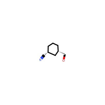 N#C[C@@H]1CCC[C@H](C=O)C1